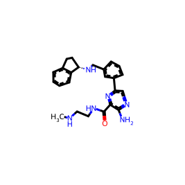 CNCCNC(=O)c1nc(-c2cccc(CN[C@H]3CCc4ccccc43)c2)cnc1N